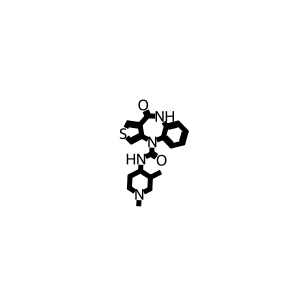 CC1CN(C)CCC1NC(=O)N1c2ccccc2NC(=O)c2cscc21